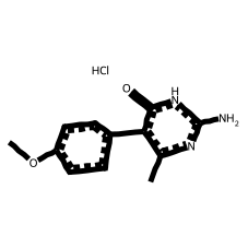 COc1ccc(-c2c(C)nc(N)[nH]c2=O)cc1.Cl